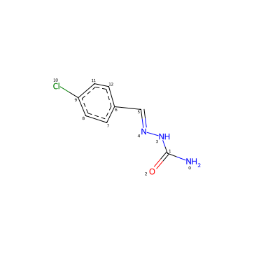 NC(=O)NN=Cc1ccc(Cl)cc1